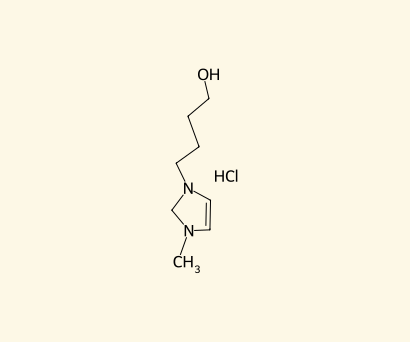 CN1C=CN(CCCCO)C1.Cl